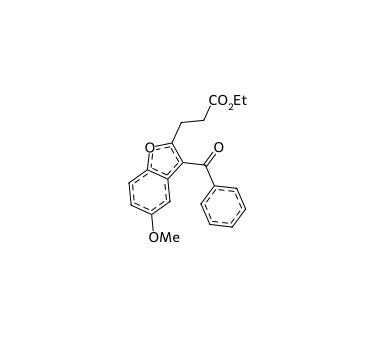 CCOC(=O)CCc1oc2ccc(OC)cc2c1C(=O)c1ccccc1